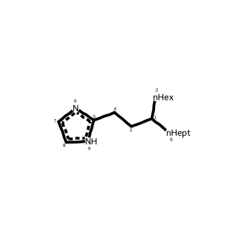 CCCCCCCC(CCCCCC)CCc1ncc[nH]1